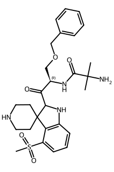 CC(C)(N)C(=O)N[C@H](COCc1ccccc1)C(=O)C1Nc2cccc(S(C)(=O)=O)c2C12CCNCC2